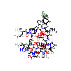 CCCN(C(=O)[C@@H]1CCN1C(=O)[C@H](C)N(C)C(=O)C[C@@H](C)CC)[C@@H](Cc1ccc(C(F)(F)F)cc1)C(=O)N(C)CC(=O)N[C@@H](CCC(=O)O)C(=O)N1CCC[C@]12C(=O)C2C1(C(=O)N(C)[C@H](C(=O)N(C)[C@@H](CC(=O)N(C)[C@@H](CC(C)C)C(N)=O)C(=O)N2CCOCC2)C2CCCC2)CCCC1